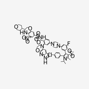 Cc1c(S(C)(=O)=O)c(-c2cc(F)cc(N3CCN(c4ccc(C(=O)NS(=O)(=O)c5cc6c(c([N+](=O)[O-])c5)NC(C5CCOCC5)CO6)c(N5CCOc6nc7[nH]ccc7cc65)c4)CC3)c2)c(-c2ccc(Cl)cc2)n1C(C)C